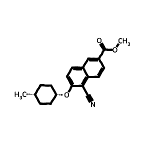 COC(=O)c1ccc2c(C#N)c(O[C@H]3CC[C@@H](C)CC3)ccc2c1